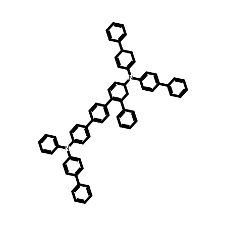 C1=CC(c2ccccc2)CC=C1N(c1ccc(-c2ccccc2)cc1)C1C=CC(c2ccc(-c3ccc(N(c4ccccc4)c4ccc(-c5ccccc5)cc4)cc3)cc2)=C(c2ccccc2)C1